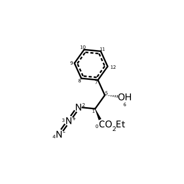 CCOC(=O)[C@@H](N=[N+]=[N-])[C@@H](O)c1ccccc1